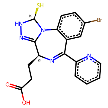 O=C(O)CC[C@@H]1N=C(c2ccccn2)c2cc(Br)ccc2N2C1=NN[C@H]2S